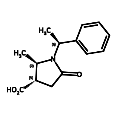 C[C@@H]1[C@@H](C(=O)O)CC(=O)N1[C@@H](C)c1ccccc1